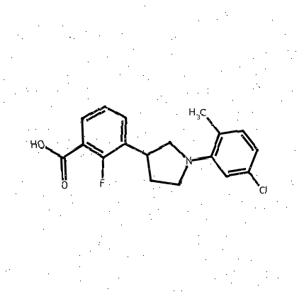 Cc1ccc(Cl)cc1N1CCC(c2cccc(C(=O)O)c2F)C1